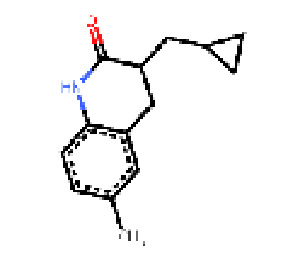 Cc1ccc2c(c1)CC(CC1CC1)C(=O)N2